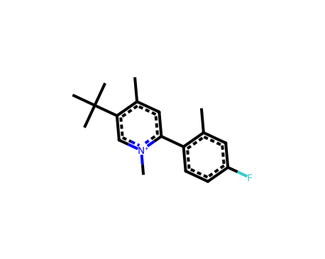 Cc1cc(F)ccc1-c1cc(C)c(C(C)(C)C)c[n+]1C